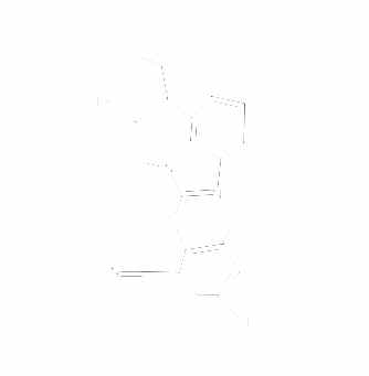 CCC(CC)c1ccc(Cl)c2nc(Oc3c(Cl)cc(Cl)cc3C#N)n(C)c12